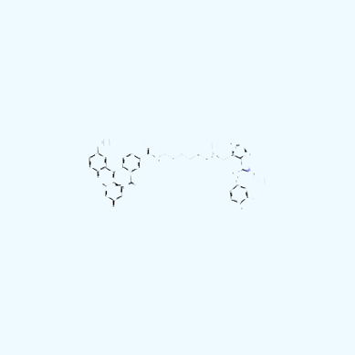 O=C(NCCCCCCNCc1nonc1/C(=N/O)Nc1ccc(F)c(Cl)c1)c1ccc(-c2c3ccc(=O)cc-3oc3ccc(O)cc23)c(C(=O)O)c1